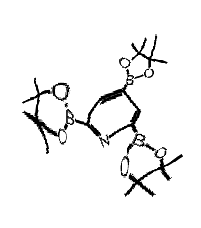 CC1(C)OB(c2cc(B3OC(C)(C)C(C)(C)O3)nc(B3OC(C)(C)C(C)(C)O3)c2)OC1(C)C